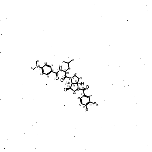 CC(C)C[C@H](NC(=O)c1ccc(N(C)C)cc1)C(=O)N1CC[C@@H]2[C@H]1C(=O)CN2C(=O)c1ccc(F)c(F)c1